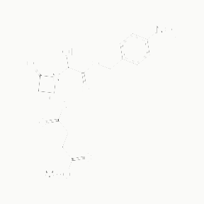 COC(=O)CCC(=O)S[C@@H]1CC(=O)N1C(O)C(=O)OCc1ccc([N+](=O)[O-])cc1